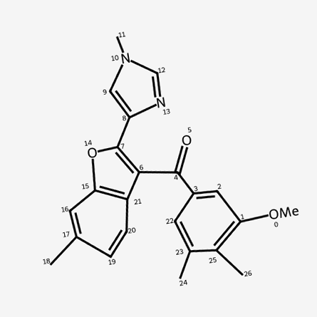 COc1cc(C(=O)c2c(-c3cn(C)cn3)oc3cc(C)ccc23)cc(C)c1C